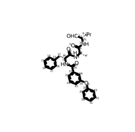 CC(C)[C@@H](C=O)NC(=O)[C@H](C)NC(=O)[C@@H](Cc1ccccc1)NC(=O)c1cccc(Oc2ccccc2)c1